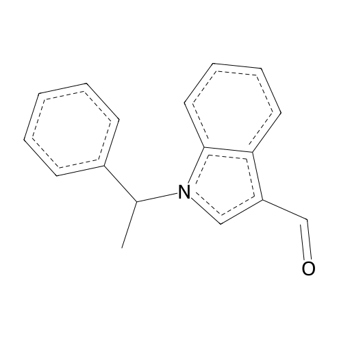 CC(c1ccccc1)n1cc(C=O)c2ccccc21